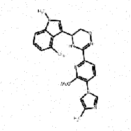 COc1nc(C2=NOCC(c3cn(C)c4cccc(C(F)(F)F)c34)N2)ccc1-n1cnc(C)c1